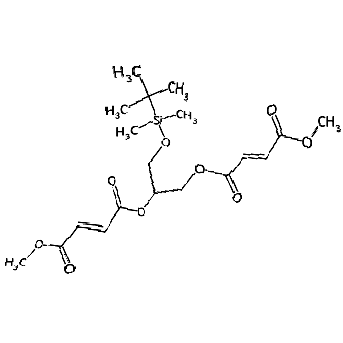 COC(=O)C=CC(=O)OCC(CO[Si](C)(C)C(C)(C)C)OC(=O)/C=C/C(=O)OC